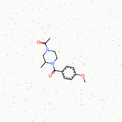 COc1ccc(C(=O)N2CCN(C(C)=O)CC2C)cc1